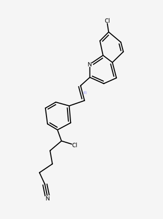 N#CCCCC(Cl)c1cccc(/C=C/c2ccc3ccc(Cl)cc3n2)c1